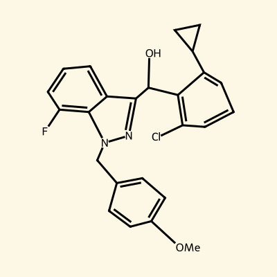 COc1ccc(Cn2nc(C(O)c3c(Cl)cccc3C3CC3)c3cccc(F)c32)cc1